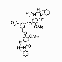 COc1cc2c(cc1OCc1cc(COc3cc4c(cc3OC)C(=O)N3c5ccccc5C[C@H]3CN4P)cc([N+](=O)[O-])c1)N=C[C@@H]1Cc3ccccc3N1C2=O